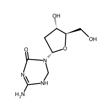 NC1=NC(=O)N([C@@H]2C[C@H](O)[C@@H](CO)O2)CN1